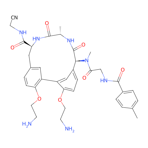 Cc1ccc(C(=O)NCC(=O)N(C)[C@@H]2C(=O)N[C@@H](C)C(=O)N[C@H](C(=O)NCC#N)Cc3ccc(OCCN)c(c3)-c3cc2ccc3OCCN)cc1